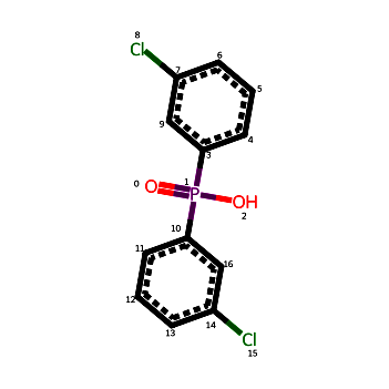 O=P(O)(c1cccc(Cl)c1)c1cccc(Cl)c1